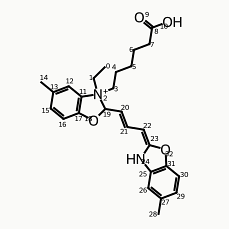 CC[N+]1(CCCCCC(=O)O)c2cc(C)ccc2OC1C=CC=C1Nc2cc(C)ccc2O1